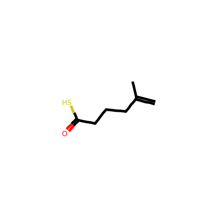 C=C(C)CCCC(=O)S